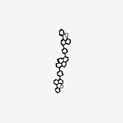 c1ccc2c(c1)Oc1ccc(-c3ccc(-c4ccc5ccc6c(-c7ccc(-c8ccc9c%10c(cccc8%10)Oc8ccccc8-9)cc7)ccc7ccc4c5c76)cc3)c3cccc-2c13